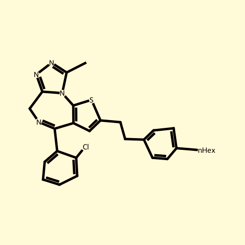 CCCCCCc1ccc(CCc2cc3c(s2)-n2c(C)nnc2CN=C3c2ccccc2Cl)cc1